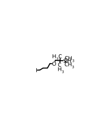 C[SiH](C)C(C)(C)COCCCCI